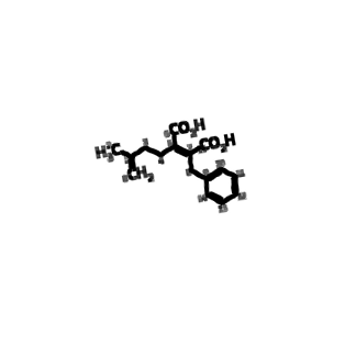 C=C(C)CC/C(C(=O)O)=C(\Cc1ccccc1)C(=O)O